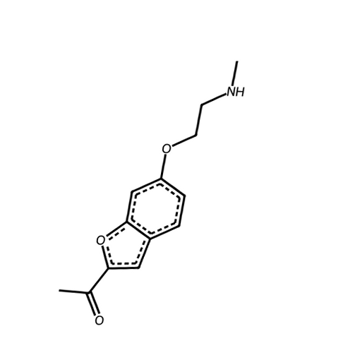 CNCCOc1ccc2cc(C(C)=O)oc2c1